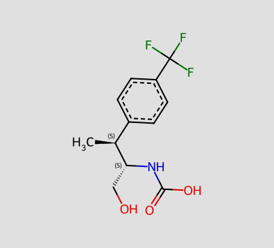 C[C@@H](c1ccc(C(F)(F)F)cc1)[C@@H](CO)NC(=O)O